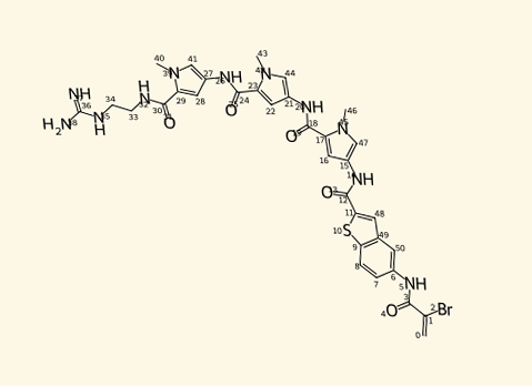 C=C(Br)C(=O)Nc1ccc2sc(C(=O)Nc3cc(C(=O)Nc4cc(C(=O)Nc5cc(C(=O)NCCNC(=N)N)n(C)c5)n(C)c4)n(C)c3)cc2c1